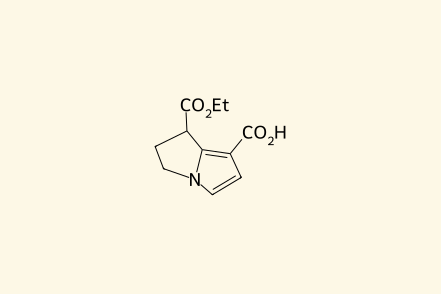 CCOC(=O)C1CCn2ccc(C(=O)O)c21